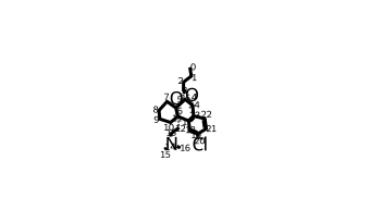 CCCC(=O)O[C@@]12CCCC[C@]1(CCN(C)C)c1cc(Cl)ccc1CC2